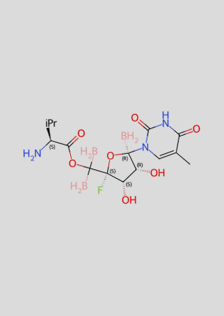 BC(B)(OC(=O)[C@@H](N)C(C)C)[C@@]1(F)O[C@@](B)(n2cc(C)c(=O)[nH]c2=O)[C@H](O)[C@@H]1O